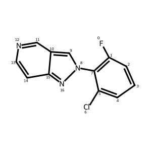 Fc1cccc(Cl)c1-n1cc2cnccc2n1